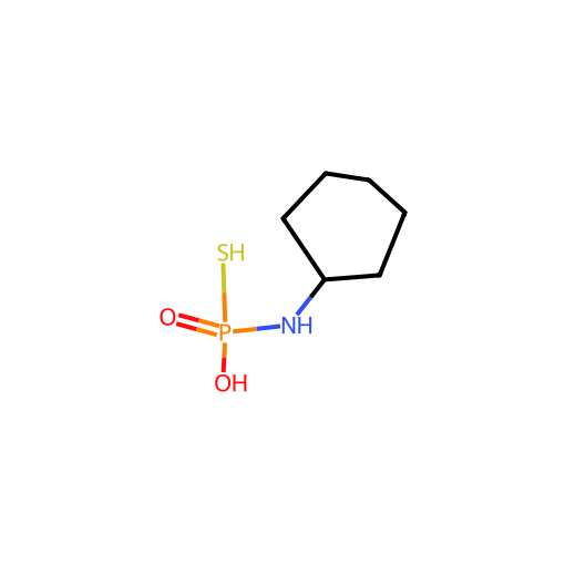 O=P(O)(S)NC1CCCCC1